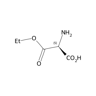 CCOC(=O)[C@@H](N)C(=O)O